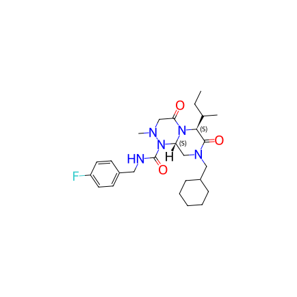 CCC(C)[C@H]1C(=O)N(CC2CCCCC2)C[C@H]2N1C(=O)CN(C)N2C(=O)NCc1ccc(F)cc1